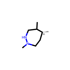 CC1CNN(C)CC[C@H]1C